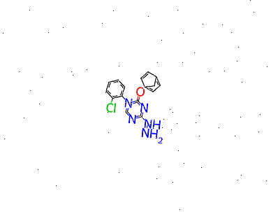 C1=CC2=CC=C1C2.NNc1ncn(-c2ccccc2Cl)c(=O)n1